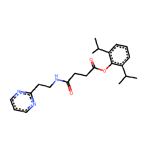 CC(C)c1cccc(C(C)C)c1OC(=O)CCC(=O)NCCc1ncccn1